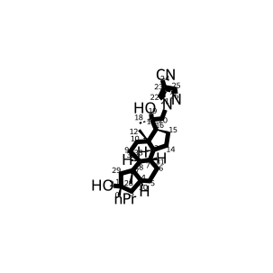 CCC[C@]1(O)C[C@@H]2CC[C@@H]3[C@H](CC[C@@]4(C)[C@H]3CC[C@@H]4[C@@](C)(O)Cn3cc(C#N)cn3)[C@@]2(C)C1